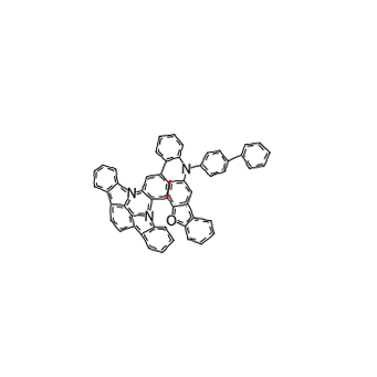 c1ccc(-c2ccc(N(c3ccc4oc5ccccc5c4c3)c3ccccc3-c3ccc4c(c3)n3c5ccccc5c5ccc6c7ccccc7n4c6c53)cc2)cc1